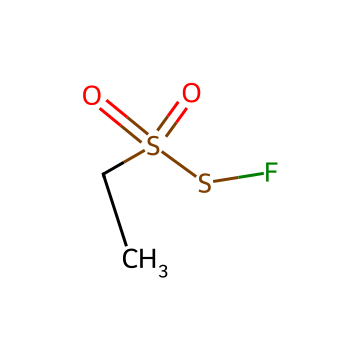 CCS(=O)(=O)SF